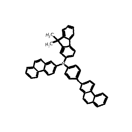 CC1(C)c2ccccc2-c2ccc(N(c3ccc(-c4ccc5c(ccc6ccccc65)c4)cc3)c3ccc4c(ccc5ccccc54)c3)cc21